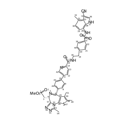 COC(=O)C[C@@H]1N=C(c2ccc(-c3ccc(C(=O)NCCc4ccc(S(=O)(=O)Nc5ccc(C)c6c(C#N)c[nH]c56)cc4)nc3)cc2)c2c(sc(C)c2C)-n2c(C)nnc21